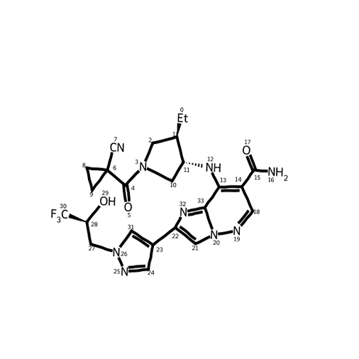 CC[C@@H]1CN(C(=O)C2(C#N)CC2)C[C@H]1Nc1c(C(N)=O)cnn2cc(-c3cnn(C[C@H](O)C(F)(F)F)c3)nc12